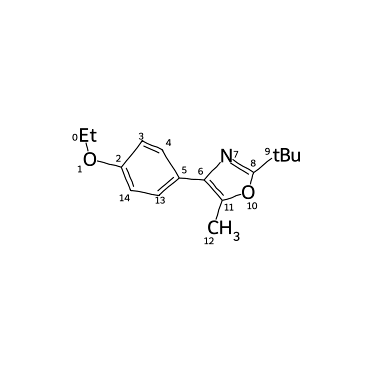 CCOc1ccc(-c2nc(C(C)(C)C)oc2C)cc1